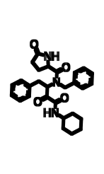 O=C1CCC(C(=O)N(Cc2ccccc2)C(Cc2ccccc2)C(=O)C(=O)NC2CCCCC2)N1